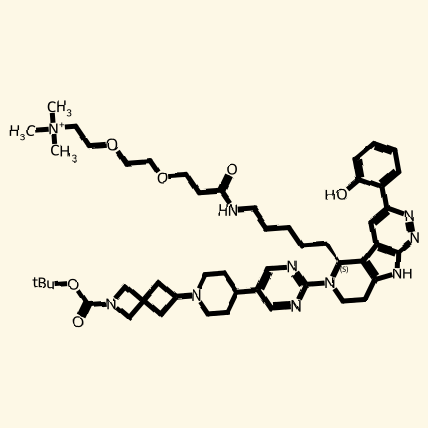 CC(C)(C)OC(=O)N1CC2(CC(N3CCC(c4cnc(N5CCc6[nH]c7nnc(-c8ccccc8O)cc7c6[C@@H]5CCCCCNC(=O)CCOCCOCC[N+](C)(C)C)nc4)CC3)C2)C1